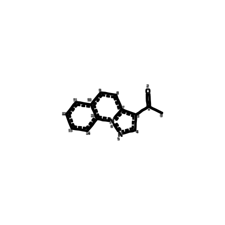 CC(=O)c1cnn2c1ccc1ccccc12